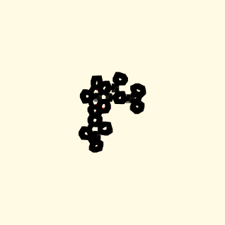 c1ccc(-c2cccc(-c3ccccc3)c2N2c3cc(-c4ccc(-c5cccc6c7ccccc7n(-c7ccccc7)c56)cc4)ccc3B3c4ccc(-n5c6ccccc6c6ccccc65)cc4N(c4ccccc4)c4cccc2c43)cc1